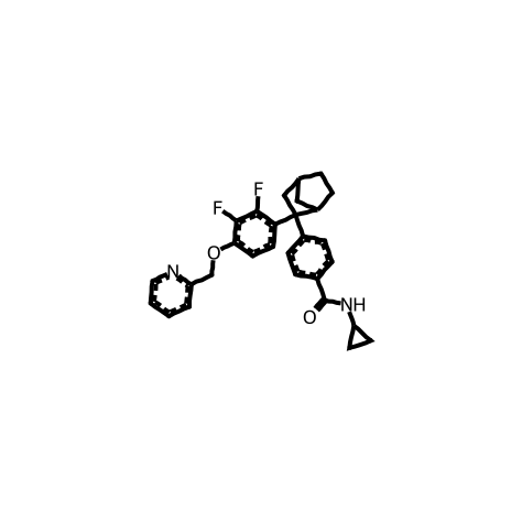 O=C(NC1CC1)c1ccc(C2(c3ccc(OCc4ccccn4)c(F)c3F)CC3CCC2C3)cc1